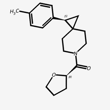 Cc1ccc([C@H]2CC23CCN(C(=O)[C@H]2CCCO2)CC3)cc1